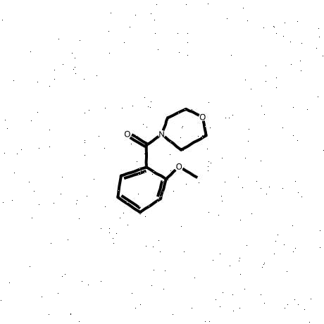 COc1c[c]ccc1C(=O)N1CCOCC1